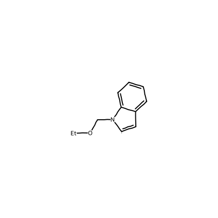 CCOCn1[c]cc2ccccc21